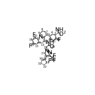 NC(=O)c1cc(-c2cccnc2C(Cc2cc(F)cc(F)c2)NC(=O)Cn2cc(C3=CCCC3)c(C(F)(F)F)n2)ccc1F